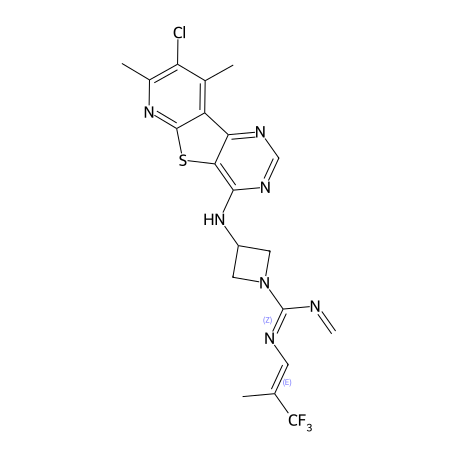 C=N/C(=N\C=C(/C)C(F)(F)F)N1CC(Nc2ncnc3c2sc2nc(C)c(Cl)c(C)c23)C1